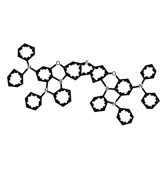 c1ccc(N(c2ccccc2)c2cc3c4c(c2)N(c2ccccc2)c2ccccc2B4c2cc4c(cc2O3)sc2cc3c(cc24)B2c4ccccc4N(c4ccccc4)c4cc(N(c5ccccc5)c5ccccc5)cc(c42)O3)cc1